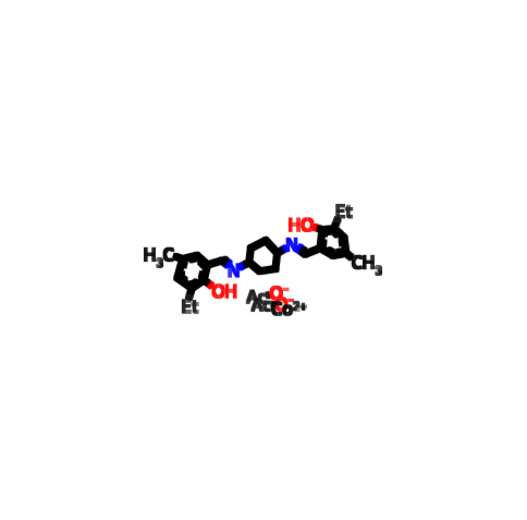 CC(=O)[O-].CC(=O)[O-].CCc1cc(C)cc(C=NC2CCC(N=Cc3cc(C)cc(CC)c3O)CC2)c1O.[Co+2]